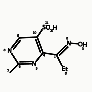 CCC(=NO)c1nc(C)ncc1S(=O)(=O)O